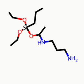 CCC[Si](OCC)(OCC)OC(C)NCCCN